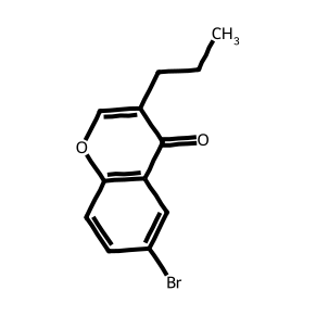 CCCc1coc2ccc(Br)cc2c1=O